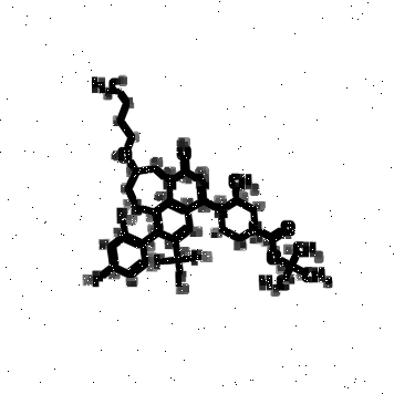 CCCCO[C@@H]1CSc2c(-c3ccc(F)cc3F)c(C(F)(F)F)cc3c(N4CCN(C(=O)OC(C)(C)C)C[C@@H]4C)nc(=O)n(c23)C1